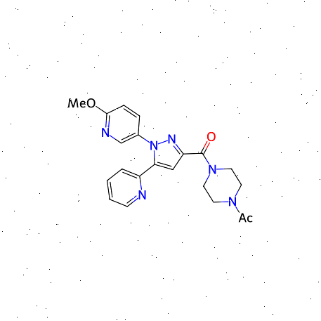 COc1ccc(-n2nc(C(=O)N3CCN(C(C)=O)CC3)cc2-c2ccccn2)cn1